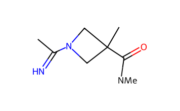 CNC(=O)C1(C)CN(C(C)=N)C1